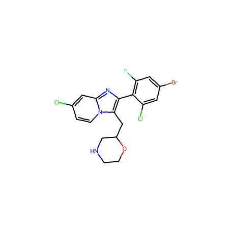 Fc1cc(Br)cc(Cl)c1-c1nc2cc(Cl)ccn2c1CC1CNCCO1